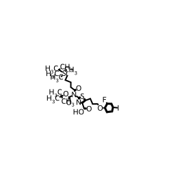 CC(C)(C)OC(=O)N(C(=O)CCCC[Si](C)(C)C(C)(C)C)c1nc(C(=O)O)c(CCCOc2ccc(I)cc2F)s1